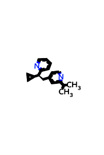 CC(C)c1cc(C[C@H](c2ccccn2)C2CC2)ccn1